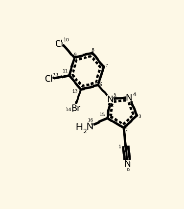 N#Cc1cnn(-c2ccc(Cl)c(Cl)c2Br)c1N